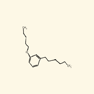 [CH2]CCCCCc1cccc(OCCCCC)c1